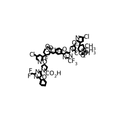 CC1(C)C[C@](F)(c2cc(Cl)cnc2O[C@H]2C[C@@H](C(=O)O)N(c3nc(C(F)(F)F)nc4c3oc3ccc(CC5(C)C[C@](F)(c6cc(Cl)cnc6O[C@H]6C[C@@H](C(=O)O)N(c7nc(C(F)F)nc8c7oc7ccccc78)C6)CCS5(=O)=O)cc34)C2)CCS1(=O)=O